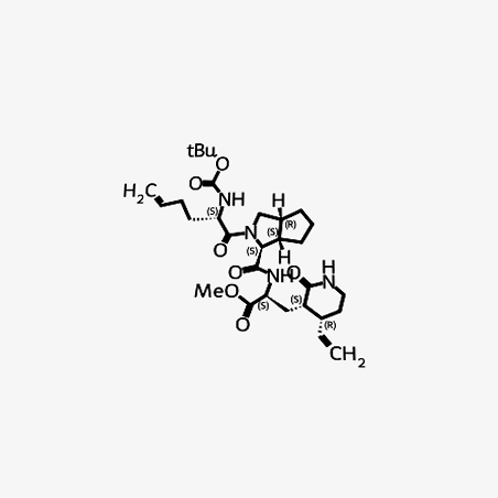 C=CCC[C@H](NC(=O)OC(C)(C)C)C(=O)N1C[C@@H]2CCC[C@@H]2[C@H]1C(=O)N[C@@H](C[C@@H]1C(=O)NCC[C@@H]1C=C)C(=O)OC